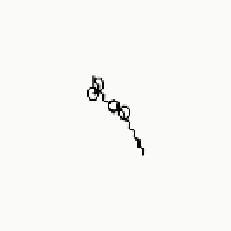 CCC=CCCCCCOc1ccc(C=CC(=O)OCC)cc1